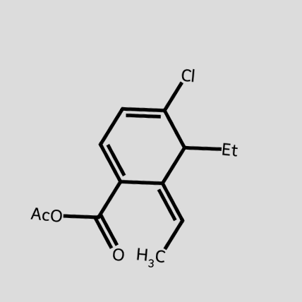 CC=C1C(C(=O)OC(C)=O)=CC=C(Cl)C1CC